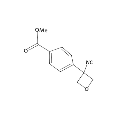 [C-]#[N+]C1(c2ccc(C(=O)OC)cc2)COC1